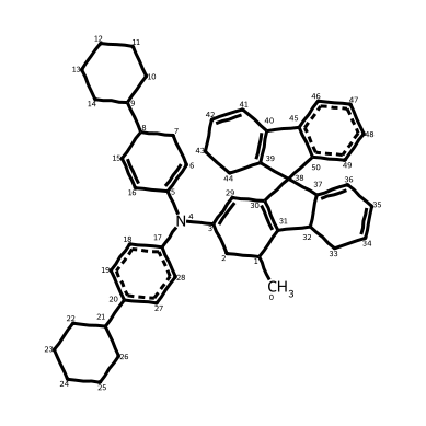 CC1CC(N(C2=CCC(C3CCCCC3)C=C2)c2ccc(C3CCCCC3)cc2)=CC2=C1C1CC=CC=C1C21C2=C(C=CCC2)c2ccccc21